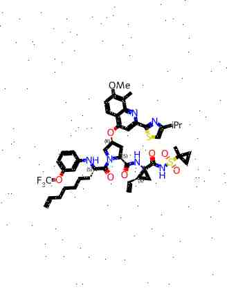 C=CCCCCC[C@H](Nc1cccc(OC(F)(F)F)c1)C(=O)N1C[C@H](Oc2cc(-c3nc(C(C)C)cs3)nc3c(C)c(OC)ccc23)C[C@H]1C(=O)N[C@]1(C(=O)NS(=O)(=O)C2(C)CC2)C[C@H]1C=C